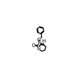 O=C1N2CCC[C@H](C2)N1OCc1ccccc1